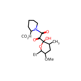 CCC1OC(O)(C(=O)C(=O)N2CCCCC2C(=O)O)C(C)CC1OC